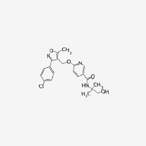 Cc1onc(-c2ccc(Cl)cc2)c1COc1ccc(C(=O)NC(C)(C)CO)cn1